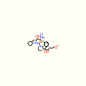 CNC[C@H](O)[C@H](CC1CCCCC1)NC(=O)N1CCC[C@@H]([C@@](O)(CCCCOC)c2cccc(Cl)c2)C1